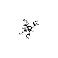 CC(C)(C)OC(=O)N[C@@]1(C(=O)OC(C)(C)C)C[C@H](Sc2cnn[nH]2)[C@H]2[C@H](C(=O)OC(C)(C)C)[C@H]21